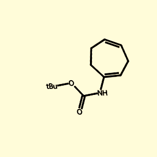 CC(C)(C)OC(=O)NC1=CCC=CCC1